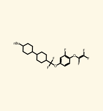 CCCCC1CCC(C2CCC(C(F)(F)Oc3ccc(OC(F)=C(F)F)c(F)c3)CC2)CC1